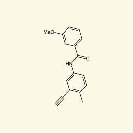 C#Cc1cc(NC(=O)c2cccc(OC)c2)ccc1C